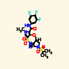 CC(C)S(=O)(=O)N1C[C@H]2COc3c(cn(C)c3C(=O)Nc3cc(F)c(F)c(F)c3)S(=O)(=O)N[C@H]2C1